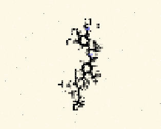 C/C=C/c1cc(C(/C=C(\F)c2ccc(C(=O)N[C@H](C)C(=O)NCC(F)(F)F)c(C(F)(F)F)c2)C(F)(F)F)cc(Cl)c1Cl